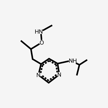 CNOC(C)Cc1cc(NC(C)C)ncn1